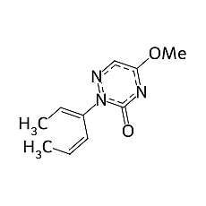 C/C=C\C(=C/C)n1ncc(OC)nc1=O